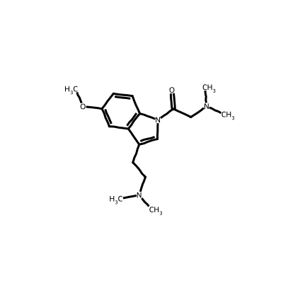 COc1ccc2c(c1)c(CCN(C)C)cn2C(=O)CN(C)C